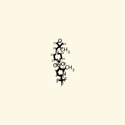 Cc1nc(C(F)(F)F)ccc1S(=O)(=O)N1CCN(CC2(C)COC2)CC1